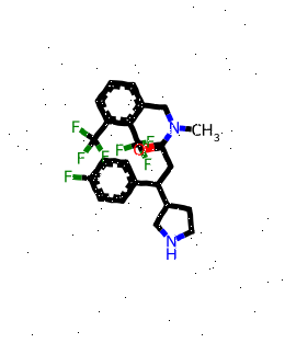 CN(Cc1cccc(C(F)(F)F)c1C(F)(F)F)C(=O)CC(c1ccc(F)cc1)C1CCNC1